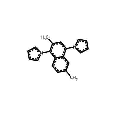 Cc1ccc2c(-n3cccc3)c(C)cc(-n3cccc3)c2c1